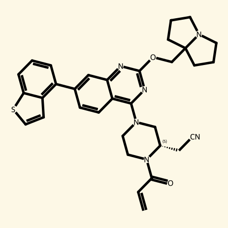 C=CC(=O)N1CCN(c2nc(OCC34CCCN3CCC4)nc3cc(-c4cccc5sccc45)ccc23)C[C@@H]1CC#N